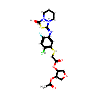 CC(=O)OC1COCC1OC(=O)CSc1cc(N=c2sc(=O)n3n2CCCC3)c(F)cc1Cl